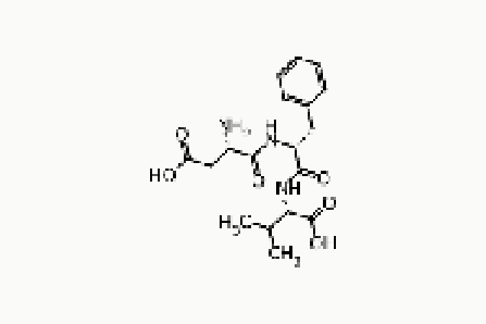 CC(C)[C@H](NC(=O)[C@@H](Cc1ccccc1)NC(=O)[C@@H](N)CC(=O)O)C(=O)O